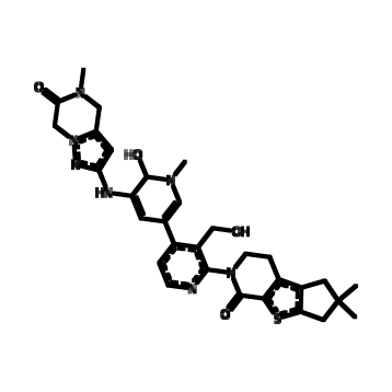 CN1Cc2cc(NC3=CC(c4ccnc(N5CCc6c(sc7c6CC(C)(C)C7)C5=O)c4CO)=CN(C)C3O)nn2CC1=O